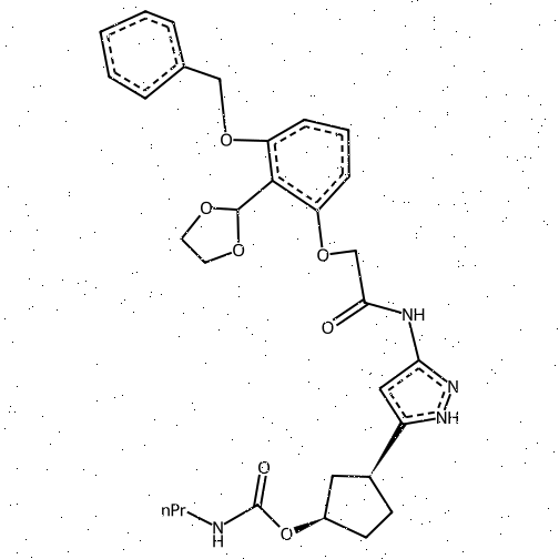 CCCNC(=O)O[C@@H]1CC[C@H](c2cc(NC(=O)COc3cccc(OCc4ccccc4)c3C3OCCO3)n[nH]2)C1